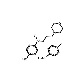 Cc1ccc(S(=O)(=O)O)cc1.[O-][S+](CCCN1CCOCC1)c1ccc(O)cc1